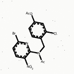 CC(=O)Oc1ccc(CN(C(C)=O)c2nc(Br)ccc2[N+](=O)[O-])c(Cl)c1